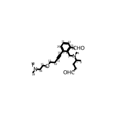 CC(CCC=O)N(C)Cc1c(C#CCCOCCN(C)F)cccc1C=O